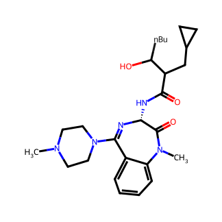 CCCCC(O)C(CC1CC1)C(=O)N[C@H]1N=C(N2CCN(C)CC2)c2ccccc2N(C)C1=O